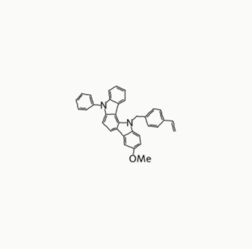 C=Cc1ccc(Cn2c3ccc(OC)cc3c3ccc4c(c5ccccc5n4-c4ccccc4)c32)cc1